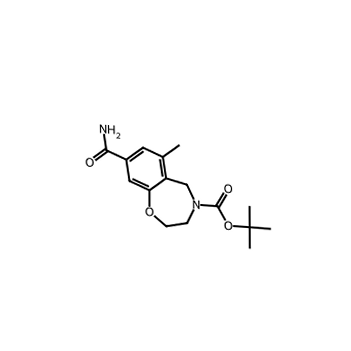 Cc1cc(C(N)=O)cc2c1CN(C(=O)OC(C)(C)C)CCO2